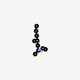 c1ccc2c(c1)ccc1c2nc2c3sc4ccccc4c3cc(-c3ccc(-c4ccc(-c5ccc(-c6ccc7c(c6)sc6ccccc67)cc5)c5ccccc45)cc3)n12